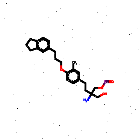 NC(CO)(CCc1ccc(OCCCc2ccc3c(c2)CCC3)c(C(F)(F)F)c1)COP=O